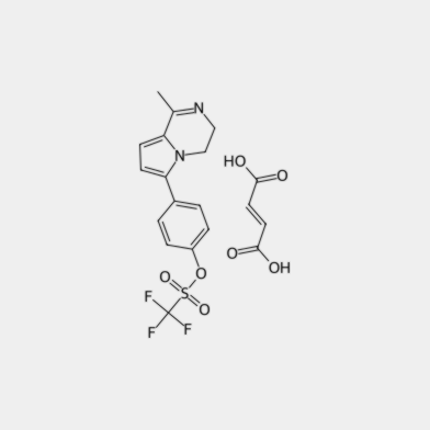 CC1=NCCn2c1ccc2-c1ccc(OS(=O)(=O)C(F)(F)F)cc1.O=C(O)C=CC(=O)O